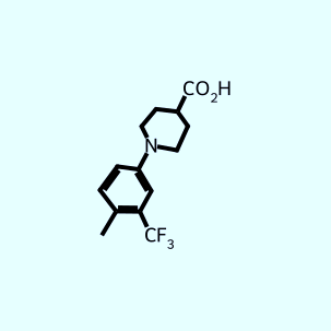 Cc1ccc(N2CCC(C(=O)O)CC2)cc1C(F)(F)F